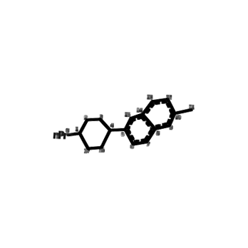 CCCC1CCC(c2ccc3cc(C)ccc3c2)CC1